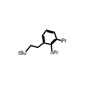 CCCc1c(CCC(C)(C)C)cccc1C(C)C